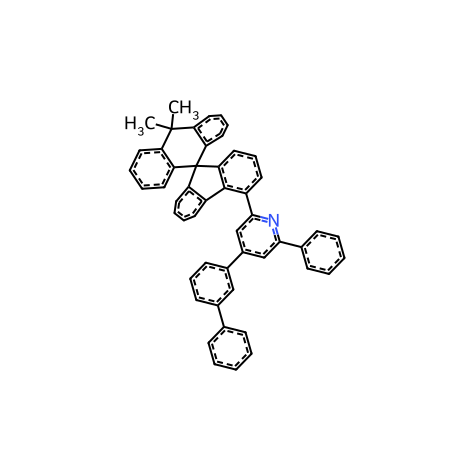 CC1(C)c2ccccc2C2(c3ccccc3-c3c(-c4cc(-c5cccc(-c6ccccc6)c5)cc(-c5ccccc5)n4)cccc32)c2ccccc21